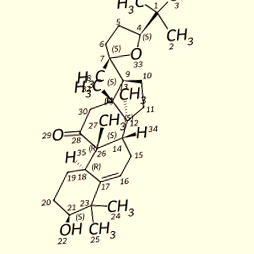 CC(C)(O)[C@@H]1CC[C@@](C)([C@H]2CC[C@@]3(C)[C@@H]4CC=C5[C@@H](CC[C@H](O)C5(C)C)[C@]4(C)C(=O)C[C@]23C)O1